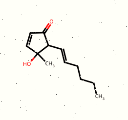 CCCCC=CC1C(=O)C=CC1(C)O